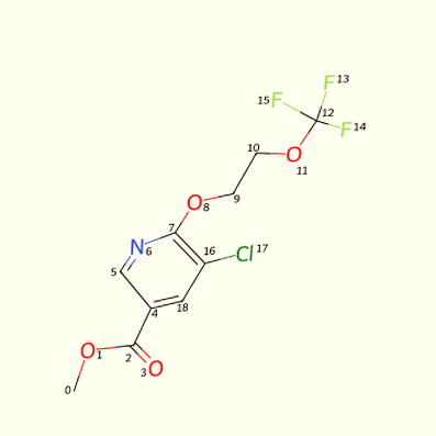 COC(=O)c1cnc(OCCOC(F)(F)F)c(Cl)c1